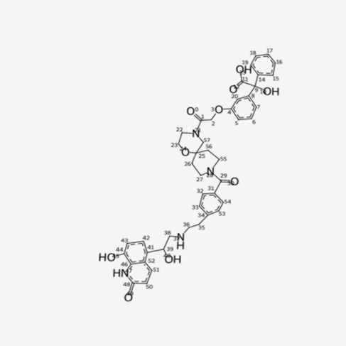 O=C(COc1cccc(C(O)(C(=O)O)c2ccccc2)c1)N1CCOC2(CCN(C(=O)c3ccc(CCNCC(O)c4ccc(O)c5[nH]c(=O)ccc45)cc3)CC2)C1